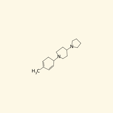 CC1=CCC(N2CCC(N3CCCC3)CC2)C=C1